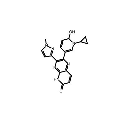 Cn1ccc(-c2nc3[nH]c(=O)ccc3nc2C2=CN(C3CC3)C(O)C=C2)n1